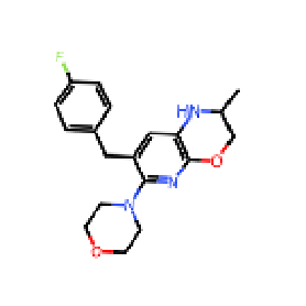 CC1COc2nc(N3CCOCC3)c(Cc3ccc(F)cc3)cc2N1